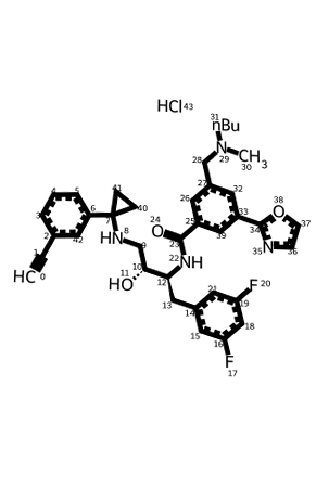 C#Cc1cccc(C2(NC[C@@H](O)[C@H](Cc3cc(F)cc(F)c3)NC(=O)c3cc(CN(C)CCCC)cc(-c4ncco4)c3)CC2)c1.Cl